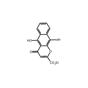 CCCc1c2ccccc2c(O)c2c(=O)cc(C(=O)OCC)oc12